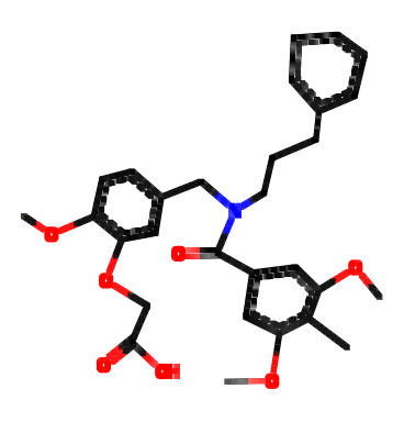 COc1ccc(CN(CCCc2ccccc2)C(=O)c2cc(OC)c(C)c(OC)c2)cc1OCC(=O)O